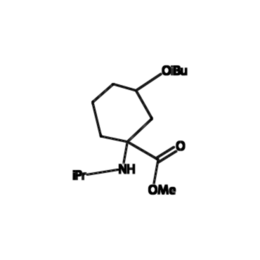 COC(=O)C1(NC(C)C)CCCC(OCC(C)C)C1